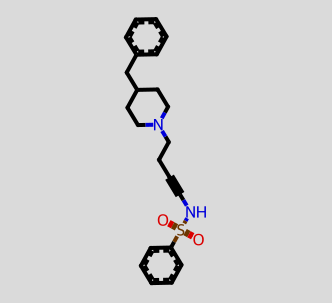 O=S(=O)(NC#CCCN1CCC(Cc2ccccc2)CC1)c1ccccc1